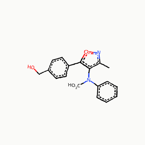 Cc1noc(-c2ccc(CO)cc2)c1N(C(=O)O)c1ccccc1